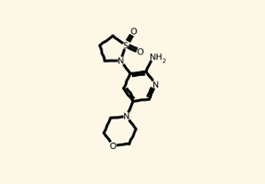 Nc1ncc(N2CCOCC2)cc1N1CCCS1(=O)=O